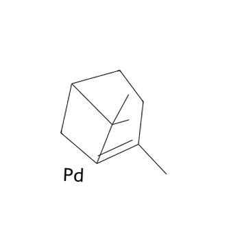 CC1=C2CC(CC1)C2(C)C.[Pd]